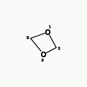 C1OCO1